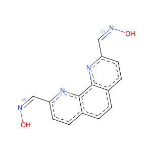 O/N=C\c1ccc2ccc3ccc(/C=N\O)nc3c2n1